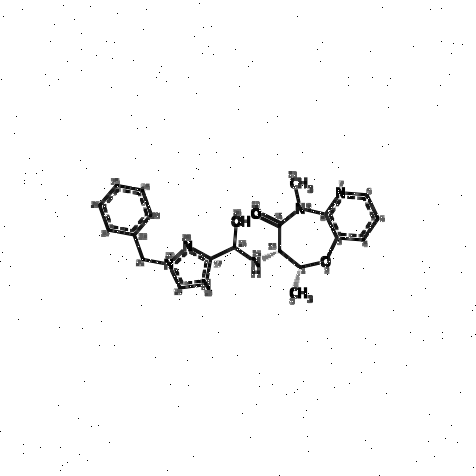 C[C@H]1Oc2cccnc2N(C)C(=O)[C@H]1NC(O)c1ncn(Cc2ccccc2)n1